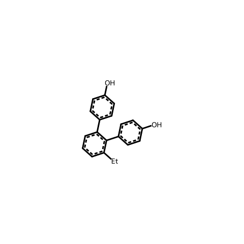 CCc1cccc(-c2ccc(O)cc2)c1-c1ccc(O)cc1